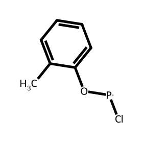 Cc1ccccc1O[P]Cl